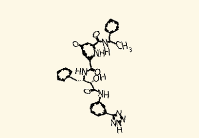 CC(NC(=O)c1cc(=O)cc(C(=O)N[C@@H](Cc2ccccc2)[C@H](O)C(=O)Nc2cccc(-c3nn[nH]n3)c2)[nH]1)c1ccccc1